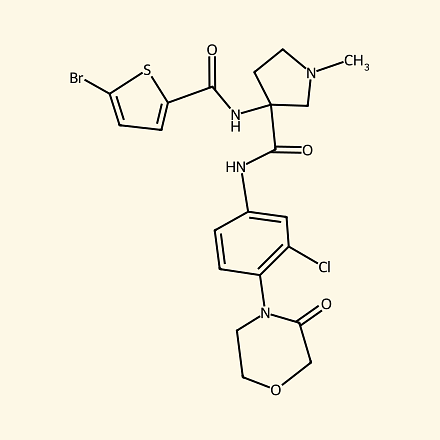 CN1CCC(NC(=O)c2ccc(Br)s2)(C(=O)Nc2ccc(N3CCOCC3=O)c(Cl)c2)C1